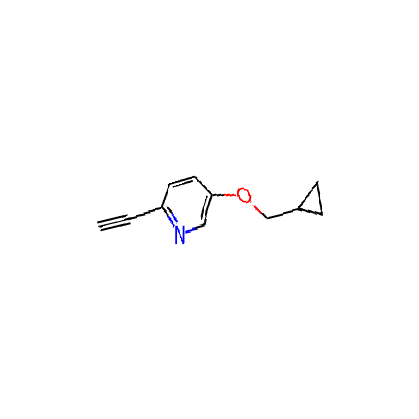 C#Cc1ccc(OCC2CC2)cn1